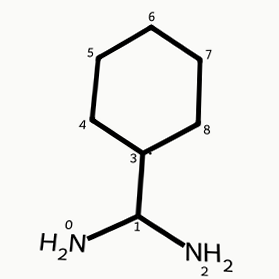 NC(N)[C]1CCCCC1